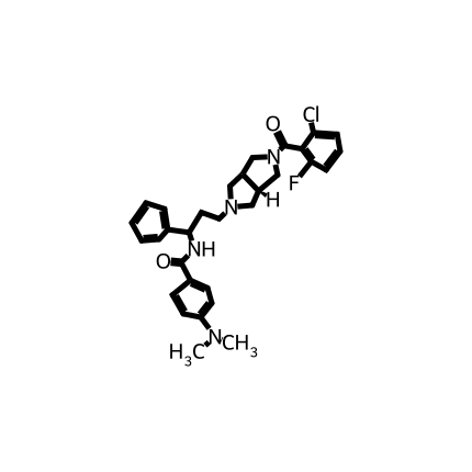 CN(C)c1ccc(C(=O)NC(CCN2CC3CN(C(=O)c4c(F)cccc4Cl)C[C@@H]3C2)c2ccccc2)cc1